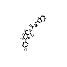 C[C@@H]1Oc2ncn(CC(=O)NCc3cc4cnccc4s3)c(=O)c2N[C@@H]1c1ccc(Cl)cc1